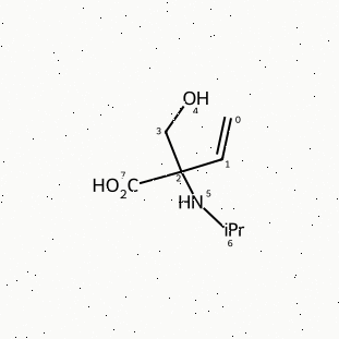 C=CC(CO)(NC(C)C)C(=O)O